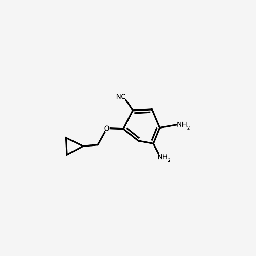 N#Cc1cc(N)c(N)cc1OCC1CC1